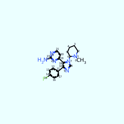 CN1CCCCC1n1cnc(-c2ccc(F)cc2)c1-c1ccnc(N)n1